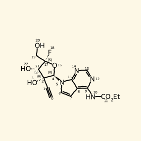 C#C[C@]1(O)[C@H](n2ccc3c(NC(=O)OCC)ncnc32)O[C@](F)(CO)[C@H]1O